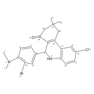 CN(C)c1ccc(C2Nc3ccc(Cl)cc3C3=C2C(=O)CC(C)(C)C3)cc1Br